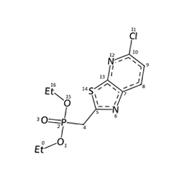 CCOP(=O)(Cc1nc2ccc(Cl)nc2s1)OCC